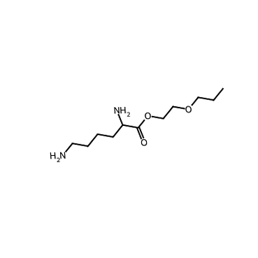 CCCOCCOC(=O)C(N)CCCCN